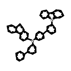 c1ccc(-c2cccc(N(c3ccc(-c4cccc(-n5c6ccccc6c6ccccc65)c4)cc3)c3ccc4c(ccc5ccccc54)c3)c2)cc1